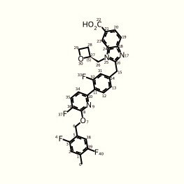 Cc1cc(F)c(COc2nc(-c3ccc(Cc4nc5ccc(C(=O)O)cc5n4C[C@@H]4CCO4)cc3F)ccc2F)cc1F